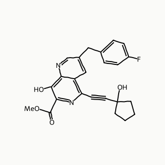 COC(=O)c1nc(C#CC2(O)CCCC2)c2cc(Cc3ccc(F)cc3)cnc2c1O